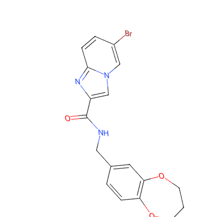 O=C(NCc1ccc2c(c1)OCCCO2)c1cn2cc(Br)ccc2n1